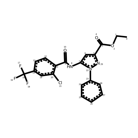 CCOC(=O)c1cc(NC(=O)c2ccc(C(F)(F)F)cc2Cl)n(-c2ccccc2)n1